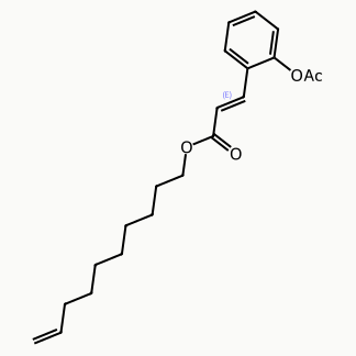 C=CCCCCCCCCOC(=O)/C=C/c1ccccc1OC(C)=O